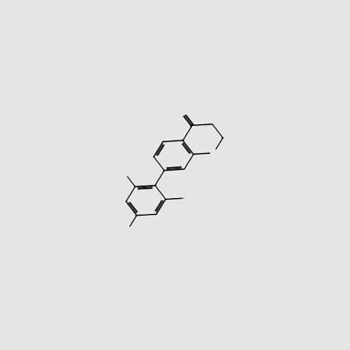 O=C1CCSc2cc(-c3c(F)cc(F)cc3F)ccc21